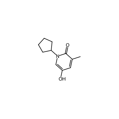 Cc1cc(O)cn(C2CCCC2)c1=O